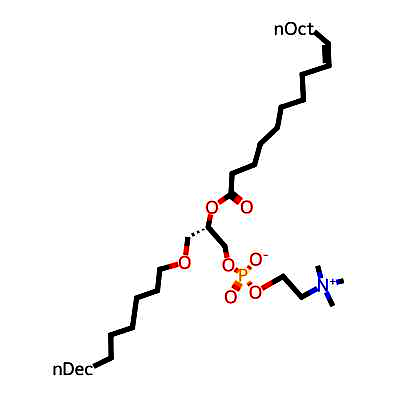 CCCCCCCC/C=C\CCCCCCCC(=O)O[C@@H](COCCCCCCCCCCCCCCCC)COP(=O)([O-])OCC[N+](C)(C)C